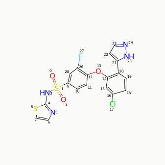 O=S(=O)(Nc1nccs1)c1ccc(Oc2cc(Cl)ccc2-c2ccn[nH]2)c(F)c1